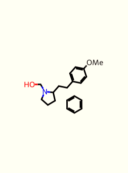 COc1ccc(CCC2CCCN2CO)cc1.c1ccccc1